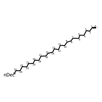 [CH]=CCCCCCCCCCCCCCCCCCCCCCCCCCCCCCCCCC[CH2]